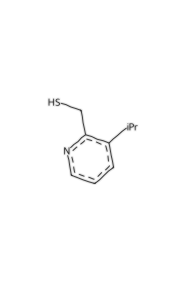 CC(C)c1cccnc1CS